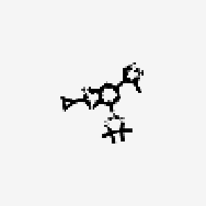 Cc1nocc1-c1cc(B2OC(C)(C)C(C)(C)O2)c2nc(C3CC3)[nH]c2c1